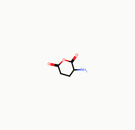 NC1CCC(=O)OC1=O